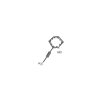 CC#Cc1ccccn1.Cl